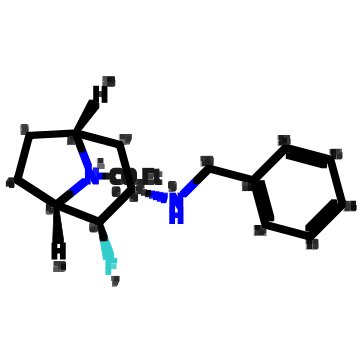 CCOC(=O)N1[C@@H]2CC[C@H]1[C@H](F)[C@@H](NCc1ccccc1)C2